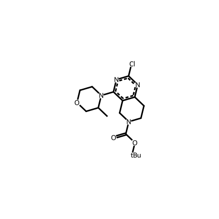 CC1COCCN1c1nc(Cl)nc2c1CN(C(=O)OC(C)(C)C)CC2